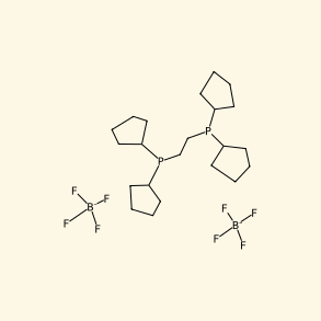 C1CCC(P(CCP(C2CCCC2)C2CCCC2)C2CCCC2)C1.F[B-](F)(F)F.F[B-](F)(F)F